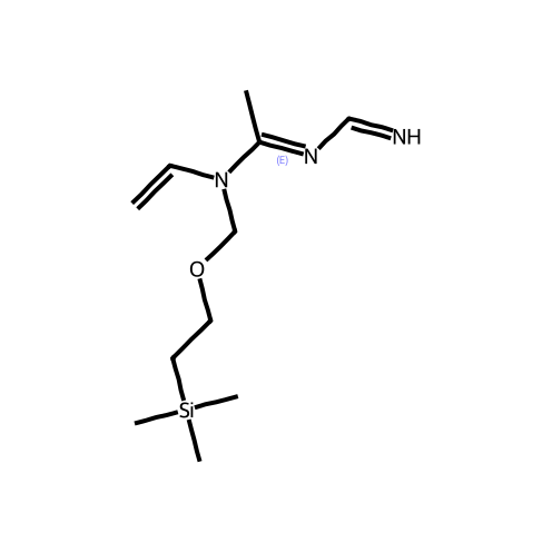 C=CN(COCC[Si](C)(C)C)/C(C)=N/C=N